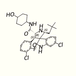 CC(C)(C)C[C@@H]1N[C@@H](C(=O)NC2CCC(O)CC2)[C@H](c2cccc(Cl)c2F)C12C(=O)Nc1cc(Cl)ccc12